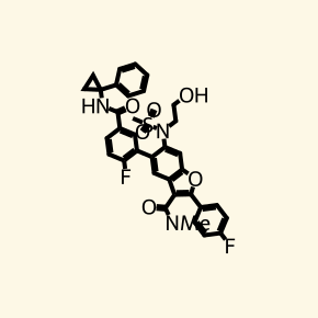 CNC(=O)c1c(-c2ccc(F)cc2)oc2cc(N(CCO)S(C)(=O)=O)c(-c3cc(C(=O)NC4(c5ccccc5)CC4)ccc3F)cc12